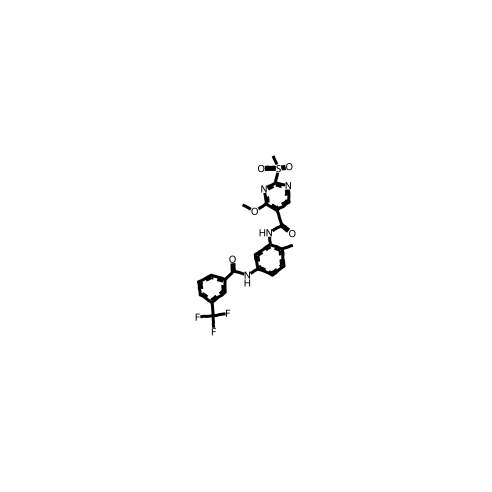 COc1nc(S(C)(=O)=O)ncc1C(=O)Nc1cc(NC(=O)c2cccc(C(F)(F)F)c2)ccc1C